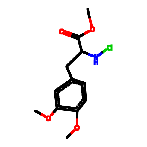 COC(=O)C(Cc1ccc(OC)c(OC)c1)NCl